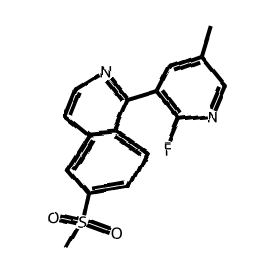 Cc1cnc(F)c(-c2nccc3cc(S(C)(=O)=O)ccc23)c1